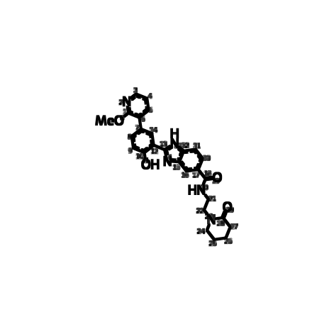 COc1ncccc1-c1ccc(O)c(-c2nc3cc(C(=O)NCCN4CCCCC4=O)ccc3[nH]2)c1